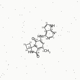 Cc1cc(Nc2ncnc3[nH]ccc23)c(=O)n2c1C(=O)NC21CCC1